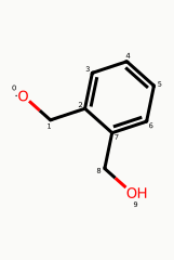 [O]Cc1ccccc1CO